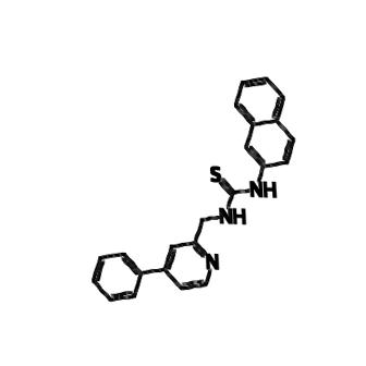 S=C(NCc1cc(-c2ccccc2)ccn1)Nc1ccc2ccccc2c1